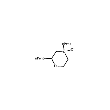 CCCCCC1C[N+]([O-])(CCCCC)CCO1